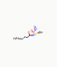 CCCCCCCCCC(=O)NP(N)(=O)SC(C)CC